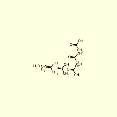 CC(=O)O.CC(=O)O.CC(=O)O.CC(=O)O.CC(=O)O.O.O